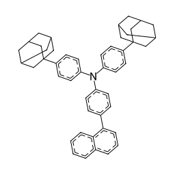 c1ccc2c(-c3ccc(N(c4ccc(C56CC7CC(CC(C7)C5)C6)cc4)c4ccc(C56CC7CC(CC(C7)C5)C6)cc4)cc3)cccc2c1